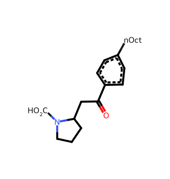 CCCCCCCCc1ccc(C(=O)CC2CCCN2C(=O)O)cc1